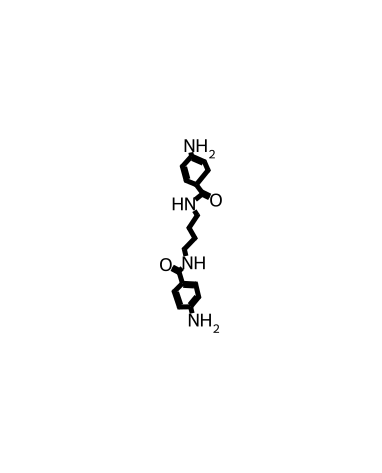 NC1=CCC(C(=O)NCCCCNC(=O)c2ccc(N)cc2)C=C1